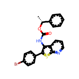 C[C@@H](OC(=O)Nc1c(-c2ccc(Br)cc2)sc2ncccc12)c1ccccc1